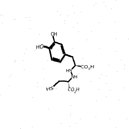 O=C(O)[C@H](CS)NN[C@@H](Cc1ccc(O)c(O)c1)C(=O)O